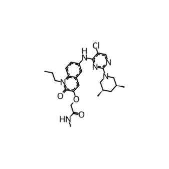 CCCn1c(=O)c(OCC(=O)NC)cc2cc(Nc3nc(N4C[C@H](C)C[C@H](C)C4)ncc3Cl)ccc21